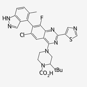 Cc1ccc2[nH]ncc2c1-c1c(Cl)cc2c(N3CCN(C(=O)O)C(C(C)(C)C)C3)nc(-c3cncs3)nc2c1F